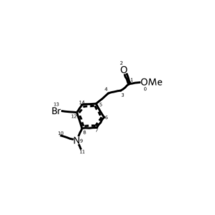 COC(=O)CCc1ccc(N(C)C)c(Br)c1